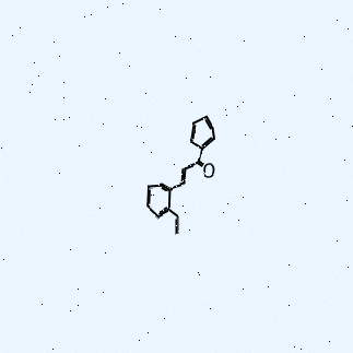 C=Cc1ccccc1C=CC(=O)c1ccccc1